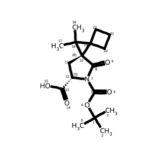 CC(C)(C)OC(=O)N1C(=O)[C@]2(C[C@H]1C(=O)O)C(C)(C)C21CCC1